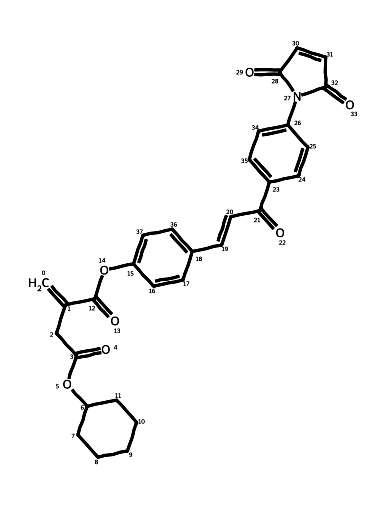 C=C(CC(=O)OC1CCCCC1)C(=O)Oc1ccc(/C=C/C(=O)c2ccc(N3C(=O)C=CC3=O)cc2)cc1